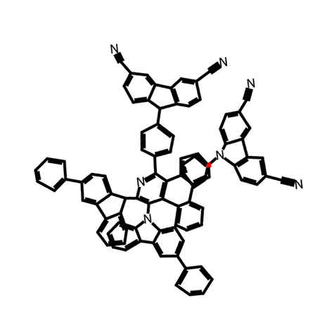 N#Cc1ccc2c(c1)-c1cc(C#N)ccc1C2c1ccc(-c2nc(C3c4ccccc4-c4cc(-c5ccccc5)ccc43)c(-n3c4ccccc4c4cc(-c5ccccc5)ccc43)c(-c3ccccc3-c3ccccc3)c2-c2ccc(-n3c4ccc(C#N)cc4c4cc(C#N)ccc43)cc2)cc1